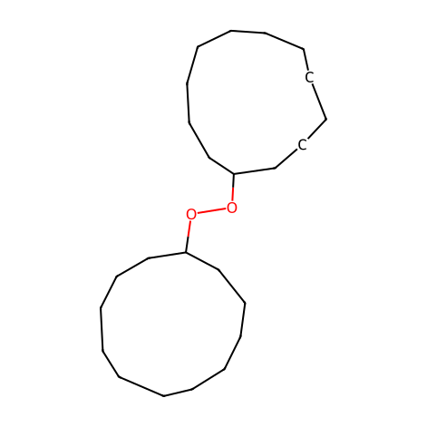 C1CCCCCC(OOC2CCCCCCCCCCC2)CCCCC1